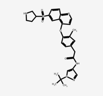 Cc1cc(CC(=O)Nc2cnn(C(C)(C)C)c2)ccc1Oc1ccnc2ccc(S(=O)(=O)C3CCNC3)cc12